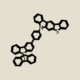 O=S12(c3ccccc3-c3ccccc31)c1ccccc1-c1cc(-c3ccc(-n4c5ccccc5c5cc6c(cc54)sc4ccccc46)cc3)ccc12